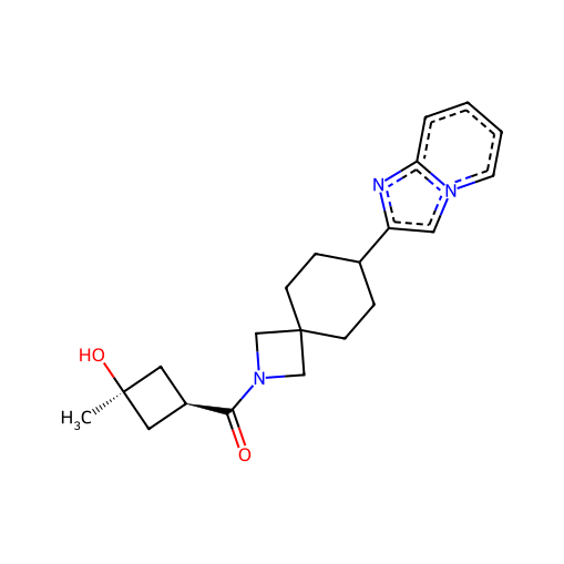 C[C@]1(O)C[C@@H](C(=O)N2CC3(CCC(c4cn5ccccc5n4)CC3)C2)C1